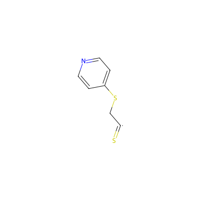 S=[C]CSc1ccncc1